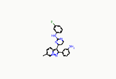 Cc1ccc2c(-c3ccnc(Nc4cccc(F)c4)n3)c(-c3cccc(N)c3)nn2c1